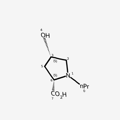 CCCN1C[C@@H](O)C[C@H]1C(=O)O